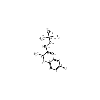 CC(Oc1ccc(Cl)cc1)C(=O)NOC(C)(C)C